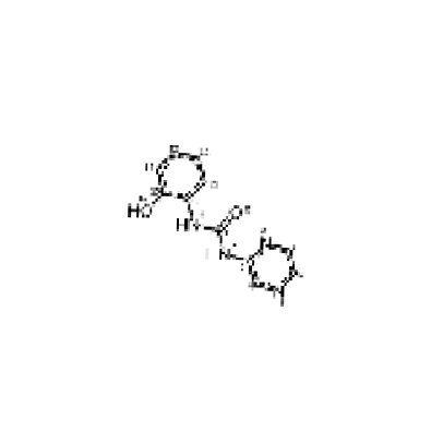 O=C(Nc1cnccn1)Nc1ccccc1O